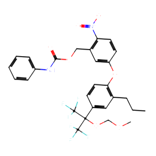 CCCc1cc(C(OCOC)(C(F)(F)F)C(F)(F)F)ccc1Oc1ccc([N+](=O)[O-])c(COC(=O)Nc2ccccc2)c1